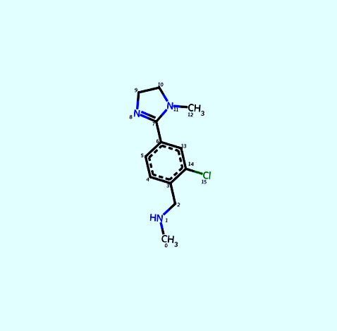 CNCc1ccc(C2=NCCN2C)cc1Cl